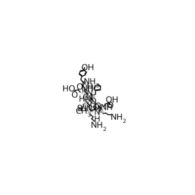 CSCC[C@H](NC(=O)[C@H](Cc1ccccc1)NC(=O)[C@H](CCC(=O)O)NC(=O)[C@@H](N)Cc1ccc(O)cc1)C(=O)N[C@@H](CCCCN)C(=O)N[C@@H](CCCCN)C(=O)NCC(=O)O